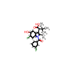 Cc1c(C(C(=O)O)C(C)(C)C)c2cc(O)c(F)cc2n1C(=O)c1cccc(F)c1